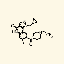 Cc1cc2[nH]c(=O)c3cnn(CC4CC4)c3c2cc1C(=O)N1CCN(CC(F)(F)F)CC1